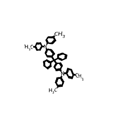 Cc1ccc(N(c2ccc(C)cc2)c2ccc(C(c3ccccc3)(c3ccccc3)c3ccc(N(c4ccc(C)cc4)c4ccc(C)cc4)cc3)cc2)cc1